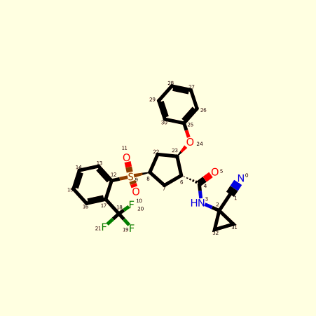 N#CC1(NC(=O)[C@@H]2C[C@@H](S(=O)(=O)c3ccccc3C(F)(F)F)C[C@H]2Oc2ccccc2)CC1